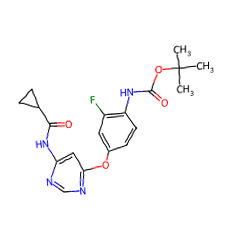 CC(C)(C)OC(=O)Nc1ccc(Oc2cc(NC(=O)C3CC3)ncn2)cc1F